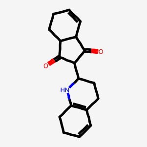 O=C1C2C=CCCC2C(=O)C1C1CCC2=C(CCC=C2)N1